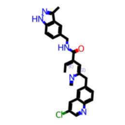 C=N/C(=C\C(=C/C)C(=O)NCc1ccc2[nH]nc(C)c2c1)Cc1ccc2ncc(Cl)cc2c1